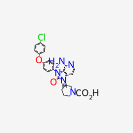 Nc1nccc2c1n(-c1ccc(Oc3ccc(Cl)cc3)cc1)c(=O)n2[C@@H]1CCCN(C(=O)O)C1